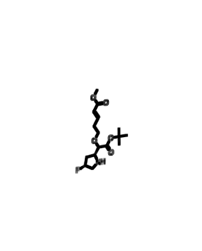 COC(=O)C=CCCOC(C(=O)OC(C)(C)C)[C@@H]1C[C@H](F)CN1